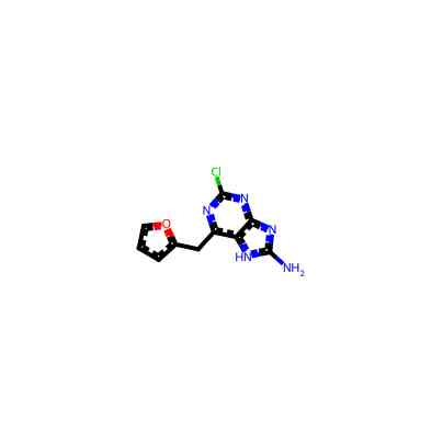 Nc1nc2nc(Cl)nc(Cc3ccco3)c2[nH]1